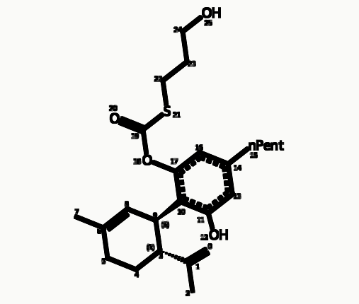 C=C(C)[C@@H]1CCC(C)=C[C@H]1c1c(O)cc(CCCCC)cc1OC(=O)SCCCO